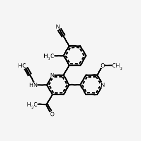 C#CNc1nc(-c2cccc(C#N)c2C)c(-c2ccnc(OC)c2)cc1C(C)=O